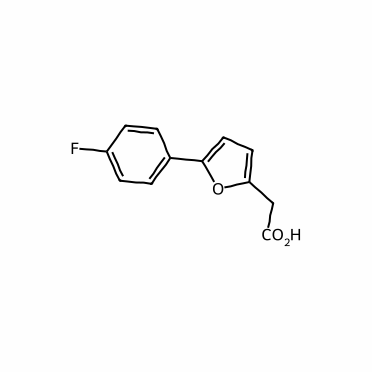 O=C(O)Cc1ccc(-c2ccc(F)cc2)o1